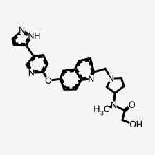 CN(C(=O)CO)C1CCN(Cc2ccc3cc(Oc4ccc(-c5ccn[nH]5)cn4)ccc3n2)C1